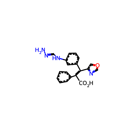 NN=CNc1cccc(C(=C(C(=O)O)c2ccccc2)c2cocn2)c1